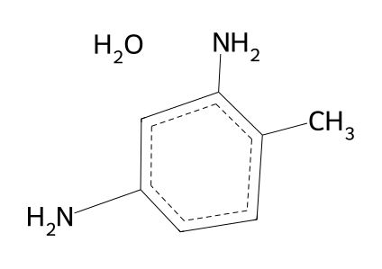 Cc1ccc(N)cc1N.O